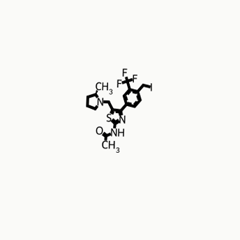 CC(=O)Nc1nc(-c2ccc(CI)c(C(F)(F)F)c2)c(CN2CCC[C@H]2C)s1